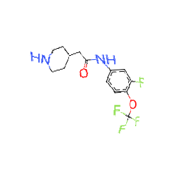 O=C(CC1CCNCC1)Nc1ccc(OC(F)(F)F)c(F)c1